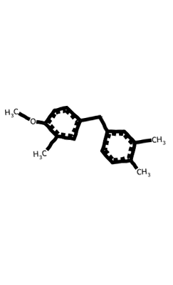 COc1ccc([CH]c2ccc(C)c(C)c2)cc1C